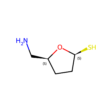 NC[C@@H]1CC[C@H](S)O1